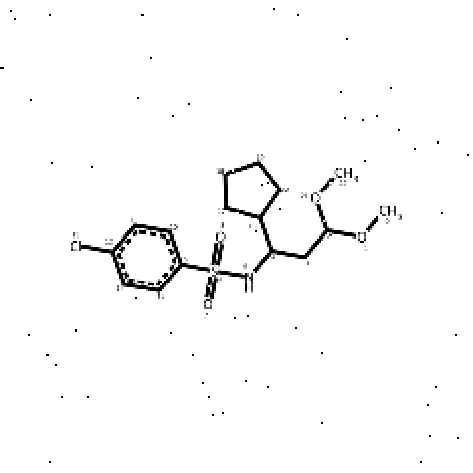 COC(CC(NS(=O)(=O)c1ccc(Cl)cc1)C1CCCC1)OC